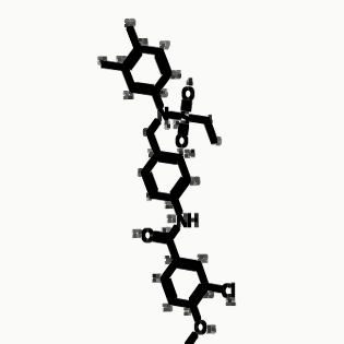 CCS(=O)(=O)N(Cc1ccc(NC(=O)c2ccc(OC)c(Cl)c2)cc1)c1ccc(C)c(C)c1